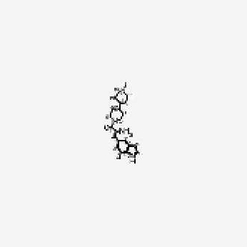 Cc1cc(CC(N)C(=O)N2CCN(C3CCN(C)CC3)CC2)cc2cc[nH]c12